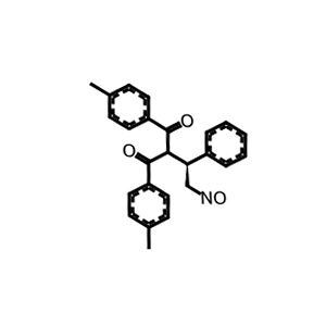 Cc1ccc(C(=O)C(C(=O)c2ccc(C)cc2)[C@H](CN=O)c2ccccc2)cc1